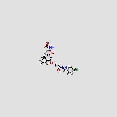 O=C(CCCOc1ccc(C=C2SC(=O)NC2=O)c2ccccc12)NCc1ccc(Cl)cc1